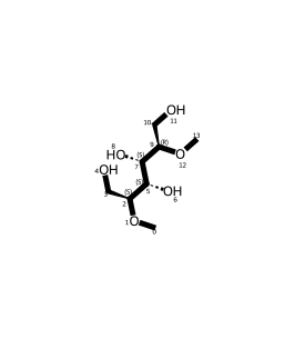 CO[C@@H](CO)[C@@H](O)[C@H](O)[C@@H](CO)OC